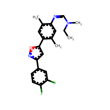 CCN(C)/C=N\c1cc(C)c(-c2cc(-c3ccc(F)c(F)c3)no2)cc1C